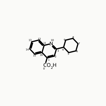 O=C(O)c1cc(C2CCCCC2)nc2ccccc12